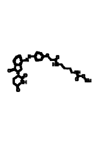 CC(C)(C)OC(=O)NCCCCNC(=O)COc1ccc(/N=N/c2cccc3c2CN(C2CCC(=O)NC2=O)C3=O)cc1